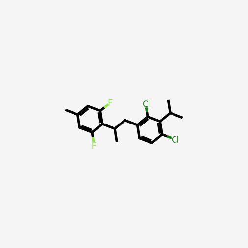 Cc1cc(F)c(C(C)Cc2ccc(Cl)c(C(C)C)c2Cl)c(F)c1